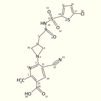 Cc1nc(N2CC(CC(=O)NS(=O)(=O)c3ccc(Cl)s3)C2)c(C#N)cc1C(=O)O